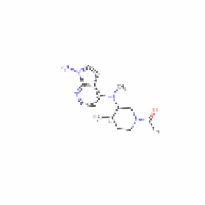 CC(C)C(=O)N1CC[C@@H](C)C(N(C)c2ccnc3c2ccn3N)C1